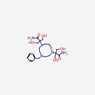 NC(=O)C(CO)(CO)N1CCCN(C(CO)(CO)C(N)=O)CCN(Cc2ccccc2)CC1